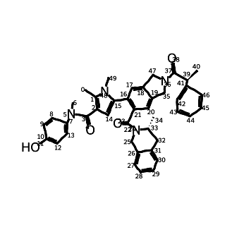 Cc1c(C(=O)N(C)c2ccc(O)cc2)cc(-c2cc3c(cc2C(=O)N2Cc4ccccc4C[C@H]2C)CN(C(=O)[C@@H](C)c2ccccc2)C3)n1C